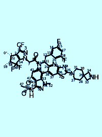 C[C@@H]1c2c(C(F)(F)F)nn(CC(=O)N[C@@H](Cc3cc(F)cc(F)c3)c3nc4nc(N5CCC6(CC5)CNC6)sc4cc3-c3cccc4c(NS(C)(=O)=O)nn(C)c34)c2C(F)(F)[C@@H]1C